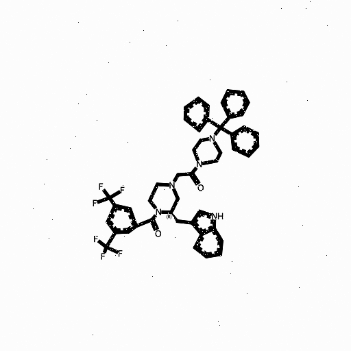 O=C(CN1CCN(C(=O)c2cc(C(F)(F)F)cc(C(F)(F)F)c2)[C@H](Cc2c[nH]c3ccccc23)C1)N1CCN(C(c2ccccc2)(c2ccccc2)c2ccccc2)CC1